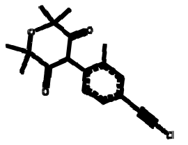 Cc1cc(C#CCl)ccc1C1C(=O)C(C)(C)OC(C)(C)C1=O